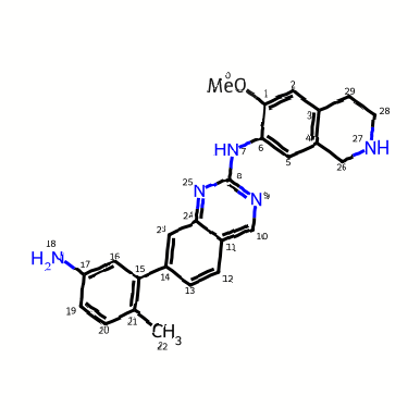 COc1cc2c(cc1Nc1ncc3ccc(-c4cc(N)ccc4C)cc3n1)CNCC2